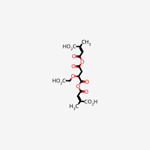 C/C(=C/C(=O)OC(=O)CC(OCC(=O)O)C(=O)OC(=O)/C=C(/C)C(=O)O)C(=O)O